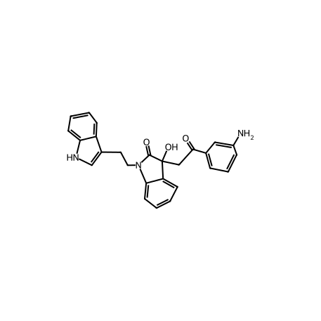 Nc1cccc(C(=O)CC2(O)C(=O)N(CCc3c[nH]c4ccccc34)c3ccccc32)c1